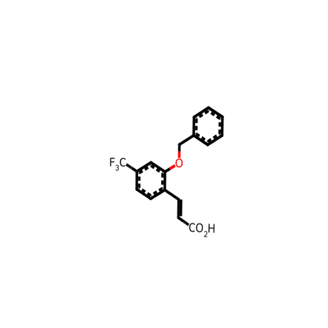 O=C(O)/C=C/c1ccc(C(F)(F)F)cc1OCc1ccccc1